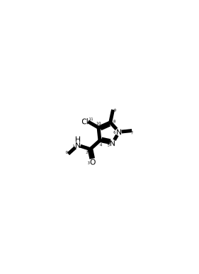 CNC(=O)c1nn(C)c(C)c1Cl